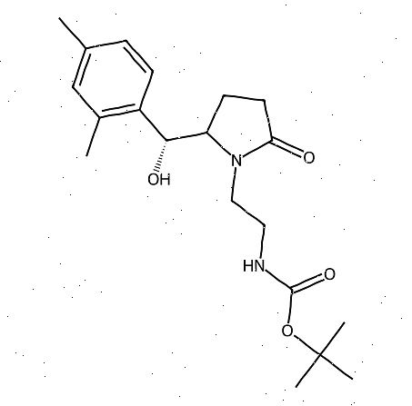 Cc1ccc([C@@H](O)C2CCC(=O)N2CCNC(=O)OC(C)(C)C)c(C)c1